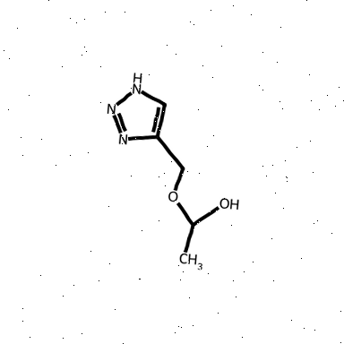 CC(O)OCc1c[nH]nn1